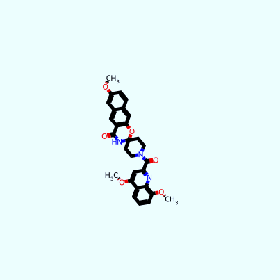 COc1ccc2cc3c(cc2c1)C(=O)NC1(CCN(C(=O)c2cc(OC)c4cccc(OC)c4n2)CC1)O3